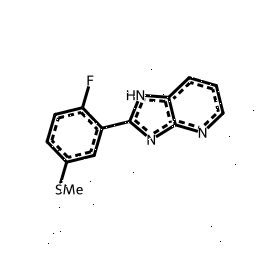 CSc1ccc(F)c(-c2nc3ncccc3[nH]2)c1